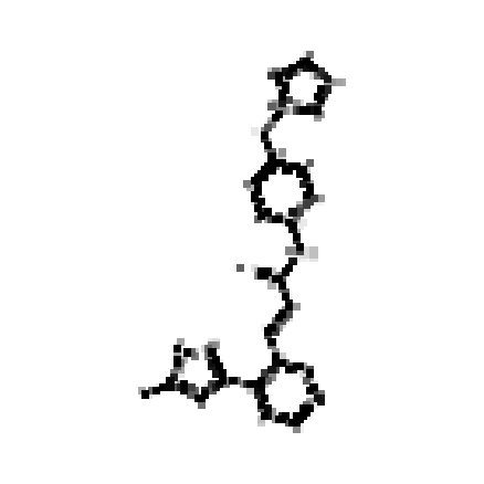 Cn1cc(-c2ccncc2C=CC(=O)Nc2ccc(Cn3ccnc3)cc2)cn1